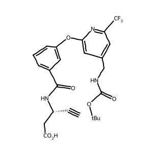 C#C[C@H](CC(=O)O)NC(=O)c1cccc(Oc2cc(CNC(=O)OC(C)(C)C)cc(C(F)(F)F)n2)c1